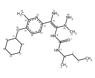 CCCC(C)NC(=O)N/C(=C(/N)c1ccc(OC2CCCCC2)c(C)n1)N(C)N